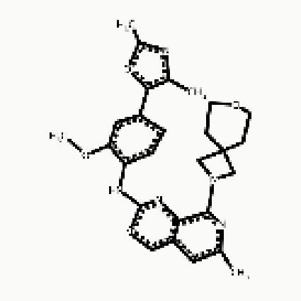 COc1cc(-c2oc(C)nc2C)ccc1Nc1ncc2cc(C)nc(N3CC4(CCOCC4)C3)c2n1